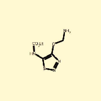 CCOC(=O)Nc1snnc1OCN